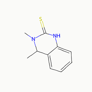 CC1c2ccccc2NC(=S)N1C